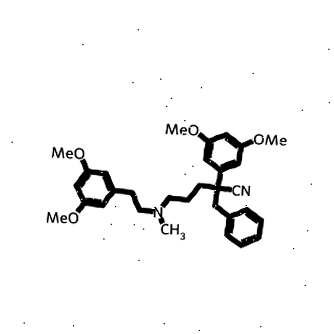 COc1cc(CCN(C)CCCC(C#N)(Cc2ccccc2)c2cc(OC)cc(OC)c2)cc(OC)c1